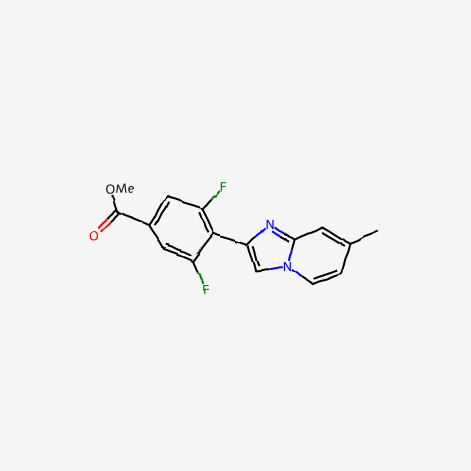 COC(=O)c1cc(F)c(-c2cn3ccc(C)cc3n2)c(F)c1